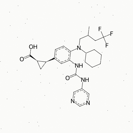 CC(CN(c1ccc([C@H]2C[C@H]2C(=O)O)cc1NC(=O)Nc1cncnc1)C1CCCCC1)CC(F)(F)F